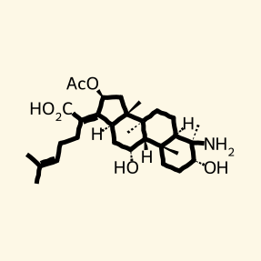 CC(=O)O[C@H]1C[C@@]2(C)[C@@H](C[C@@H](O)[C@H]3[C@@]4(C)CC[C@@H](O)[C@](C)(N)[C@@H]4CC[C@@]32C)/C1=C(\CCC=C(C)C)C(=O)O